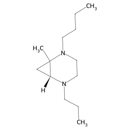 CCCCN1CCN(CCC)[C@@H]2CC21C